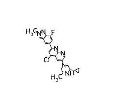 CC1CN(c2cnc3nc(-c4cc(F)c5nn(C)cc5c4)cc(Cl)c3c2)CC(C2CC2)N1